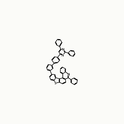 c1ccc(-c2cc(-c3ccc(-c4cccc(-c5ccc6sc7ccc8c(-c9ccccc9)nc9ccccc9c8c7c6c5)c4)cc3)nc(-c3ccccc3)n2)cc1